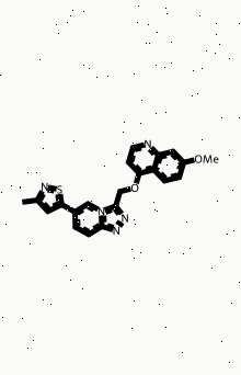 COc1ccc2c(OCc3nnc4ccc(-c5cc(C)ns5)cn34)ccnc2c1